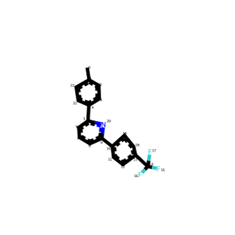 Cc1ccc(-c2cccc(-c3ccc(C(F)(F)F)cc3)n2)cc1